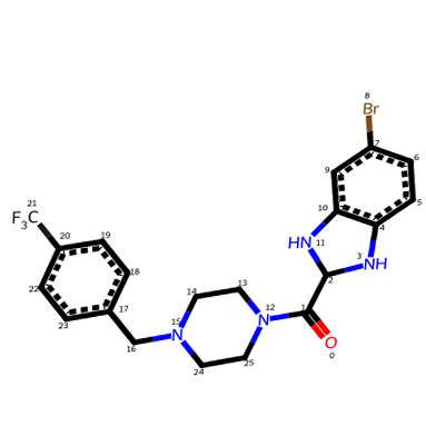 O=C(C1Nc2ccc(Br)cc2N1)N1CCN(Cc2ccc(C(F)(F)F)cc2)CC1